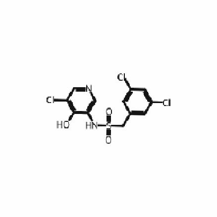 O=S(=O)(Cc1cc(Cl)cc(Cl)c1)Nc1cncc(Cl)c1O